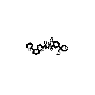 COCC1(c2ccc(OC)c(S(=O)(=O)NC(=O)c3ccc4c(-c5ccccn5)cccc4n3)c2)CCOCC1